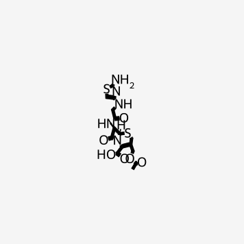 CC(=O)OCC1=C(C(=O)O)N2C(=O)[C@@H](NC(=O)CNc3csc(N)n3)[C@H]2SC1